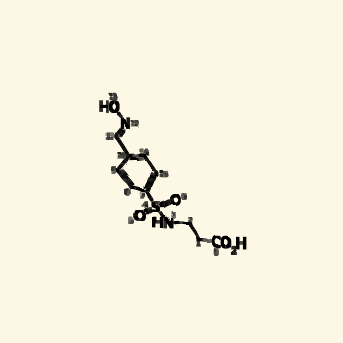 O=C(O)CCNS(=O)(=O)c1ccc(C=NO)cc1